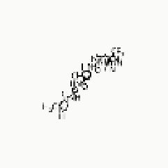 C[C@H]1CN(C(=O)NC2CC(NC(=O)c3ccc(NC(=O)c4ncc(Cc5c(C(F)(F)F)n[nH]c5CC#N)[nH]4)cc3Cl)C2)CCN1